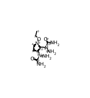 CCOn1ccc(N(N)C(N)=O)c1N(N)C(N)=O